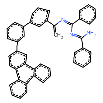 C=C(/N=C(\N=C(/N)c1ccccc1)c1ccccc1)c1cccc(-c2cccc(-c3ccc4c5ccccc5c5ccccc5c4c3)c2)c1